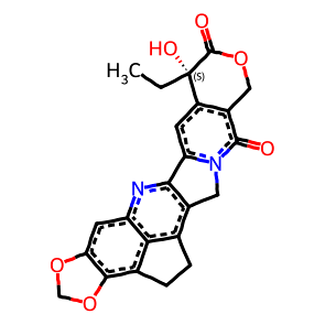 CC[C@@]1(O)C(=O)OCc2c1cc1n(c2=O)Cc2c-1nc1cc3c(c4c1c2CC4)OCO3